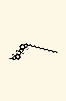 CCCCCCCCCCCCCCc1cc2ccc3c(sc4c5ccc6cc(C)sc6c5sc34)c2s1